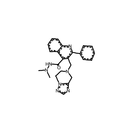 CN(C)NC(=O)c1c(CN2CCn3ncnc3C2)c(-c2ccccc2)nc2ccccc12